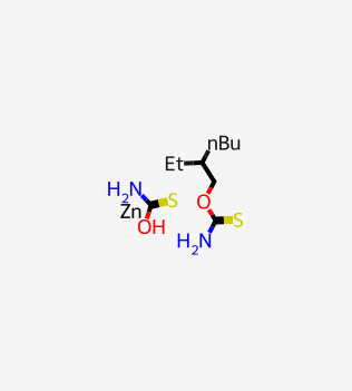 CCCCC(CC)COC(N)=S.NC(O)=S.[Zn]